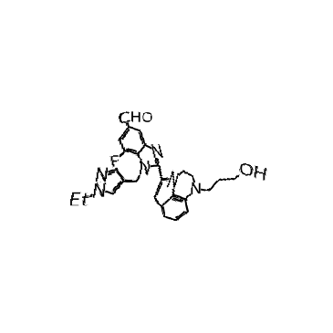 CCn1cc(Cn2c(-c3cc4cccc5c4n3CCN5CCCO)nc3cc(C=O)cc(F)c32)cn1